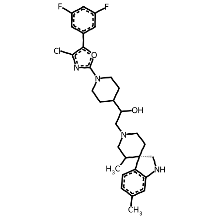 Cc1ccc2c(c1)NC[C@]21CCN(CC(O)C2CCN(c3nc(Cl)c(-c4cc(F)cc(F)c4)o3)CC2)CC1C